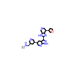 CCNCc1cncc(-c2cnc3[nH]nc(-c4nc5c(-c6ccoc6)cncc5[nH]4)c3c2)c1